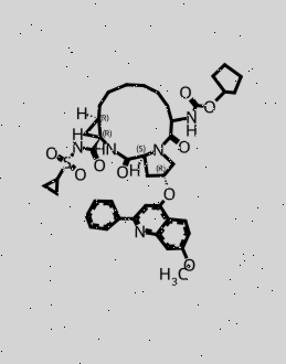 COc1ccc2c(O[C@@H]3C[C@H]4C(=O)N[C@]5(C(=O)NS(=O)(=O)C6CC6)C[C@H]5CCCCCCC(NC(=O)OC5CCCC5)C(=O)N4C3)cc(-c3ccccc3)nc2c1